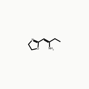 CCC(N)=CC1=NCCO1